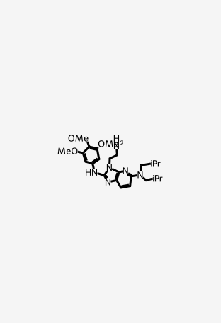 COc1cc(Nc2nc3ccc(N(CC(C)C)CC(C)C)nc3n2CCN)cc(OC)c1OC